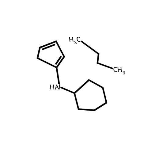 C1=CC[C]([AlH][CH]2CCCCC2)=C1.CCCC